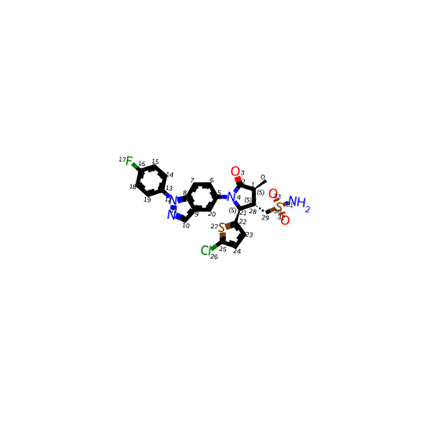 C[C@@H]1C(=O)N(c2ccc3c(cnn3-c3ccc(F)cc3)c2)[C@H](c2ccc(Cl)s2)[C@H]1CS(N)(=O)=O